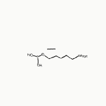 CC.CCCCCCCCCCCCOP(O)O